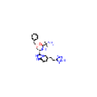 CC(C)(N)C(=O)N[C@H](COCc1ccccc1)c1nnc2ccc(CCc3nn[nH]n3)cn12